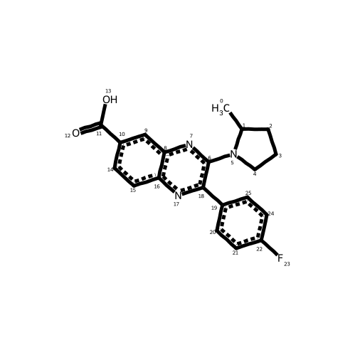 CC1CCCN1c1nc2cc(C(=O)O)ccc2nc1-c1ccc(F)cc1